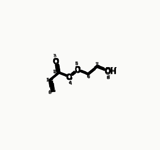 C=CC(=O)OOCCO